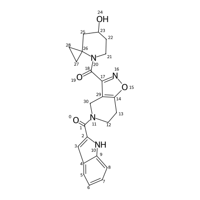 O=C(c1cc2ccccc2[nH]1)N1CCc2onc(C(=O)N3CCC(O)CC34CC4)c2C1